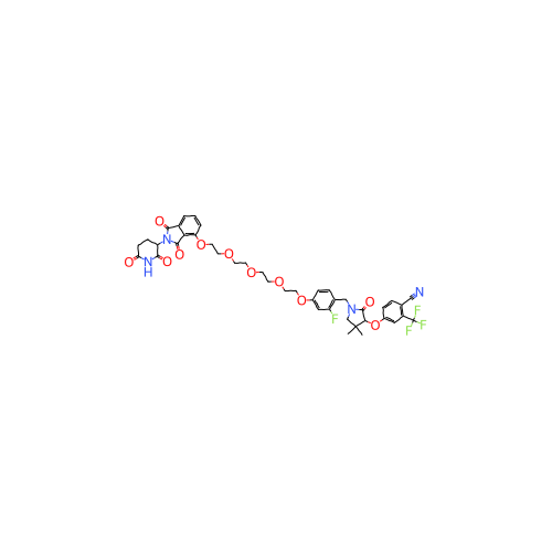 CC1(C)CN(Cc2ccc(OCCOCCOCCOCCOc3cccc4c3C(=O)N(C3CCC(=O)NC3=O)C4=O)cc2F)C(=O)C1Oc1ccc(C#N)c(C(F)(F)F)c1